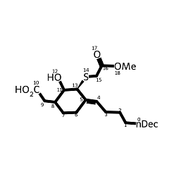 CCCCCCCCCCCCCC=C1CCC(CC(=O)O)C(O)[C@H]1SCC(=O)OC